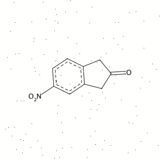 O=C1Cc2ccc([N+](=O)[O-])cc2C1